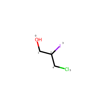 OCC(I)CCl